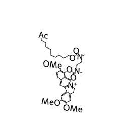 COc1cc2c(cc1OC)-c1cc3ccc(OC)c(OC(=O)N(C)CCN(C)C(=O)OCCCCCCCCCC(C)=O)c3c[n+]1CC2